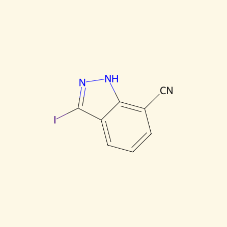 N#Cc1cccc2c(I)n[nH]c12